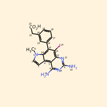 Cn1ccc2c3c(N)nc(N)nc3c(I)c(-c3cccc(CC(=O)O)c3)c21